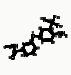 CNC(=O)c1cc(Oc2ccc(N)c(C(F)(F)F)c2)ccn1